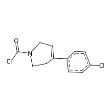 O=C(Cl)N1CC=C(c2ccc(Cl)cc2)CC1